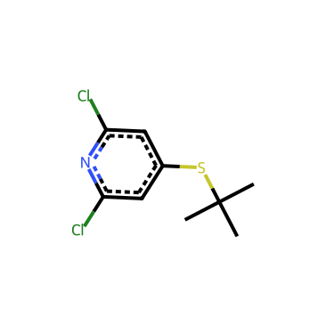 CC(C)(C)Sc1cc(Cl)nc(Cl)c1